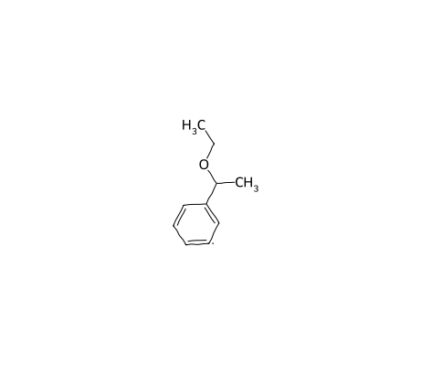 CCOC(C)c1c[c]ccc1